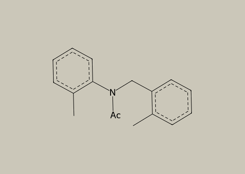 CC(=O)N(Cc1ccccc1C)c1ccccc1C